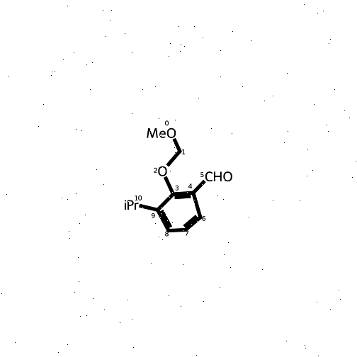 COCOc1c(C=O)cccc1C(C)C